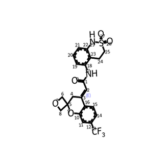 O=C(/C=C1\CC2(COC2)Oc2cc(C(F)(F)F)ccc21)Nc1cccc2c1CCS(=O)(=O)N2